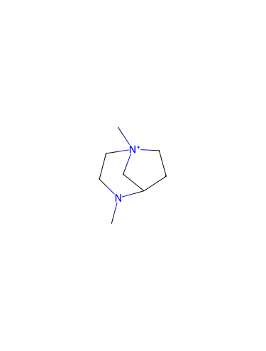 CN1CC[N+]2(C)CCC1C2